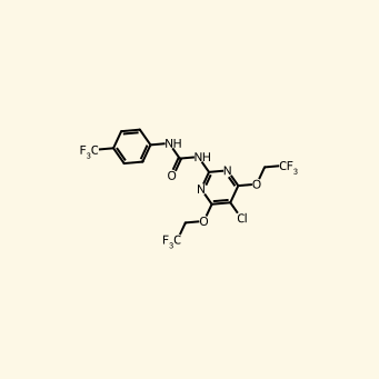 O=C(Nc1ccc(C(F)(F)F)cc1)Nc1nc(OCC(F)(F)F)c(Cl)c(OCC(F)(F)F)n1